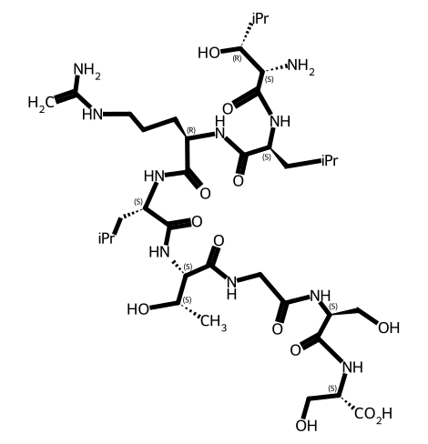 C=C(N)NCCC[C@@H](NC(=O)[C@H](CC(C)C)NC(=O)[C@@H](N)[C@H](O)C(C)C)C(=O)N[C@@H](CC(C)C)C(=O)N[C@H](C(=O)NCC(=O)N[C@@H](CO)C(=O)N[C@@H](CO)C(=O)O)[C@H](C)O